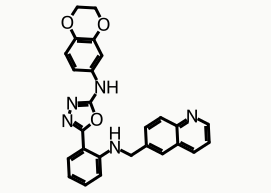 c1ccc(-c2nnc(Nc3ccc4c(c3)OCCO4)o2)c(NCc2ccc3ncccc3c2)c1